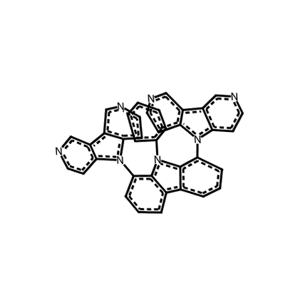 c1ccc(-n2c3c(-n4c5ccncc5c5cnccc54)cccc3c3cccc(-n4c5ccncc5c5cnccc54)c32)cc1